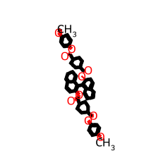 COc1ccc(OC(=O)C2CCC(C(=O)Oc3ccc4c(c3C3=c5ccccc5=CC[C@@H]3OC(=O)C3CCC(C(=O)Oc5ccc(OC)cc5)CC3)=CCCC=4)CC2)cc1